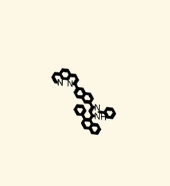 C1=C(c2ccc3cc(-c4ccc5ccc6cccnc6c5n4)ccc3c2)N=C(c2ccccc2)NC1c1c(-c2ccccc2)ccc2ccccc12